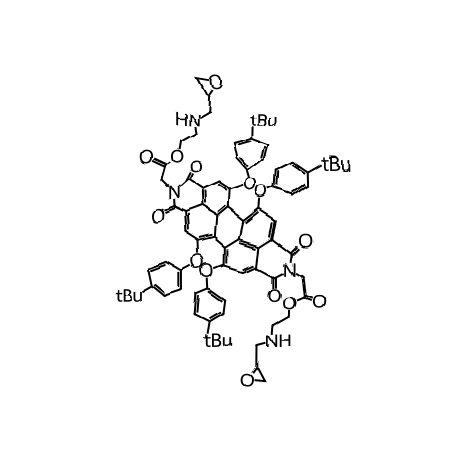 CC(C)(C)c1ccc(Oc2cc3c4c(cc(Oc5ccc(C(C)(C)C)cc5)c5c6c(Oc7ccc(C(C)(C)C)cc7)cc7c8c(cc(Oc9ccc(C(C)(C)C)cc9)c(c2c45)c86)C(=O)N(CC(=O)OCCNCC2CO2)C7=O)C(=O)N(CC(=O)OCCNCC2CO2)C3=O)cc1